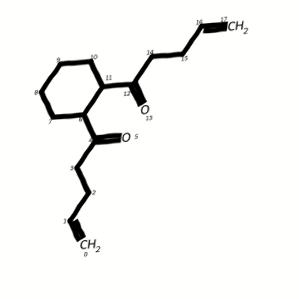 C=CCCC(=O)C1CCCCC1C(=O)CCC=C